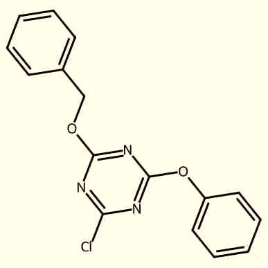 Clc1nc(OCc2ccccc2)nc(Oc2ccccc2)n1